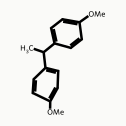 COc1ccc(C(C)c2ccc(OC)cc2)cc1